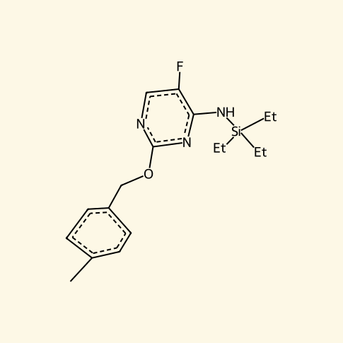 CC[Si](CC)(CC)Nc1nc(OCc2ccc(C)cc2)ncc1F